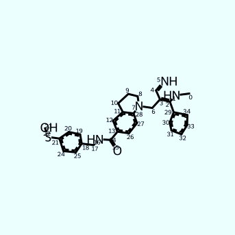 CN/C(=C(\C=N)CN1CCCc2cc(C(=O)NCc3ccc(SO)cc3)ccc21)c1ccccc1